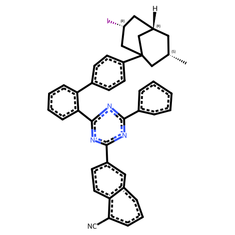 C[C@H]1C[C@H]2C[C@@H](I)CC(c3ccc(-c4ccccc4-c4nc(-c5ccccc5)nc(-c5ccc6c(C#N)cccc6c5)n4)cc3)(C1)C2